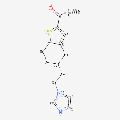 COC(=O)c1cc2c(s1)CCC(CCn1ccnc1)C2